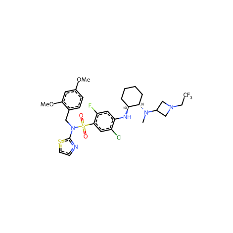 COc1ccc(CN(c2nccs2)S(=O)(=O)c2cc(Cl)c(N[C@H]3CCCC[C@@H]3N(C)C3CN(CC(F)(F)F)C3)cc2F)c(OC)c1